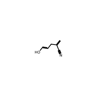 C=C(C#N)CC=CO